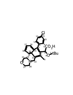 Cc1c(C(OC(C)(C)C)C(=O)O)c(-c2ccc(Cl)cc2)c2ccccc2c1CN1CCOCC1